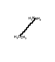 CC(C)CCCCCCCCCCCCCCC(N)N